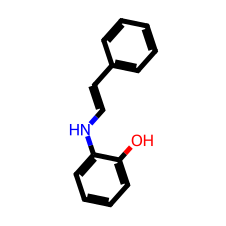 Oc1ccccc1NC=Cc1ccccc1